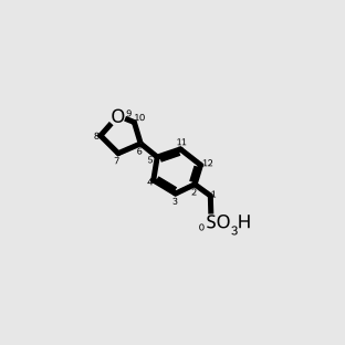 O=S(=O)(O)Cc1ccc(C2CCOC2)cc1